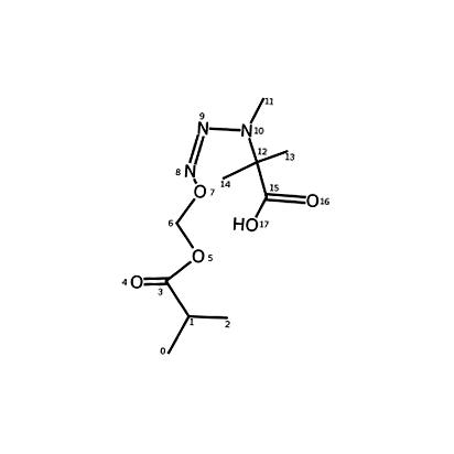 CC(C)C(=O)OCO/N=N\N(C)C(C)(C)C(=O)O